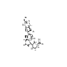 CCN1CCc2c(nc(C(=O)Nc3cccc(-c4cccc(NC)c4C)c3C)n2C)C1